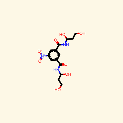 O=C(NC(O)CCO)c1cc(C(=O)NC(O)CCO)cc([N+](=O)[O-])c1